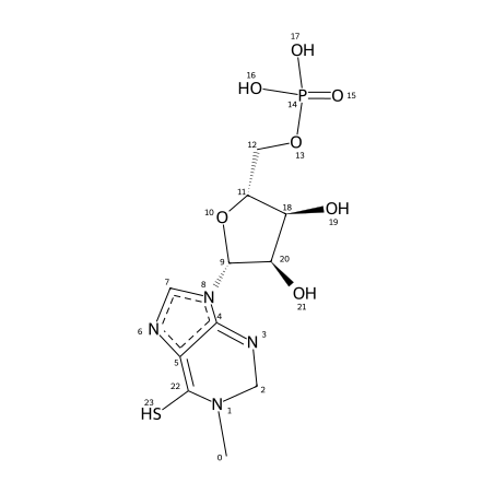 CN1CN=c2c(ncn2[C@@H]2O[C@H](COP(=O)(O)O)[C@@H](O)[C@H]2O)=C1S